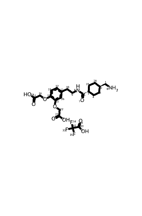 NC[C@H]1CC[C@H](C(=O)NCCc2ccc(OCC(=O)O)c(OCC(=O)O)c2)CC1.O=C(O)C(F)(F)F